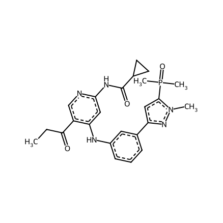 CCC(=O)c1cnc(NC(=O)C2CC2)cc1Nc1cccc(-c2cc(P(C)(C)=O)n(C)n2)c1